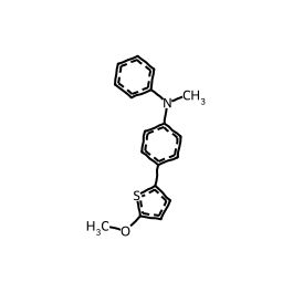 COc1ccc(-c2ccc(N(C)c3ccccc3)cc2)s1